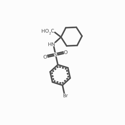 O=C(O)C1(NS(=O)(=O)c2ccc(Br)cc2)CCCCC1